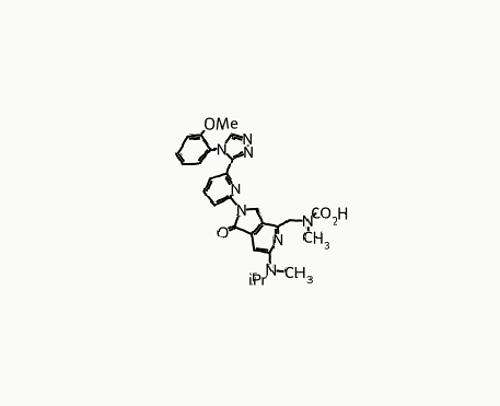 COc1ccccc1-n1cnnc1-c1cccc(N2Cc3c(cc(N(C)C(C)C)nc3CN(C)C(=O)O)C2=O)n1